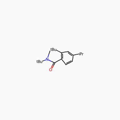 CC(C)c1ccc(C(=O)N(C)C(C)(C)C)c(C(C)(C)C)c1